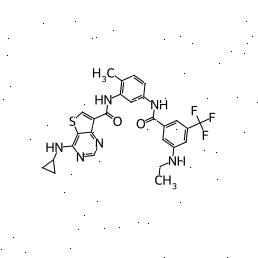 CCNc1cc(C(=O)Nc2ccc(C)c(NC(=O)c3csc4c(NC5CC5)ncnc34)c2)cc(C(F)(F)F)c1